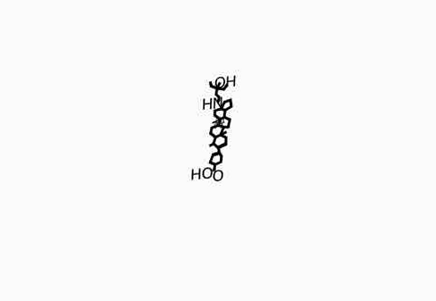 CCC(O)(CC)CCNC12CCCC1C1CCC3C4(C)CC=C(C5=CCC(C(=O)O)CC5)C(C)C4CC[C@@]3(C)[C@]1(C)CC2